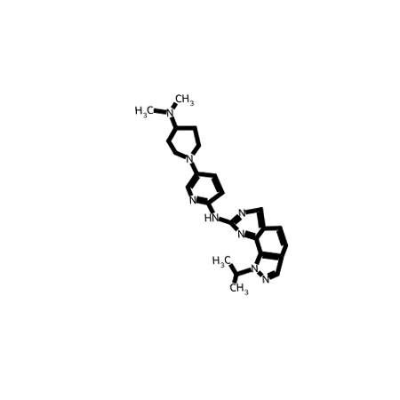 CC(C)n1ncc2ccc3cnc(Nc4ccc(N5CCC(N(C)C)CC5)cn4)nc3c21